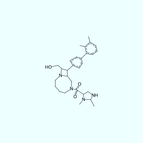 Cc1cccc(-c2ccc(C3C(CO)N4CCCCN(S(=O)(=O)C5CNC(C)N5C)CC34)cc2)c1C